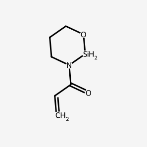 C=CC(=O)N1CCCO[SiH2]1